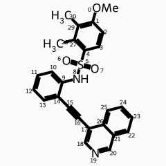 COc1ccc(S(=O)(=O)Nc2ccccc2C#Cc2cncc3ccccc23)c(C)c1C